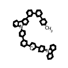 Cc1ccc(-c2cccc(-c3cccc(-c4ccc5c(c4)C4C=CC#CC4N5c4ccc(-c5cccc(-c6ccc(-c7ccc(-n8c9ccccc9c9ccccc98)cc7)cc6)c5)cc4)c3)c2)cc1